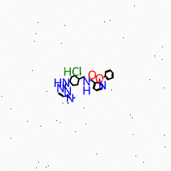 CN(C)c1ccnc(NC2CCC(CNC(=O)c3cccnc3Oc3ccccc3)CC2)n1.Cl